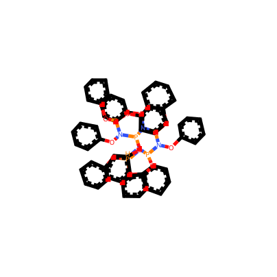 c1ccc(ON(P(N=[PH](Oc2ccccc2)Oc2ccccc2)Oc2ccccc2)P(Oc2ccccc2)N(Oc2ccccc2)P(Oc2ccccc2)N(Oc2ccccc2)P(Oc2ccccc2)Oc2ccccc2)cc1